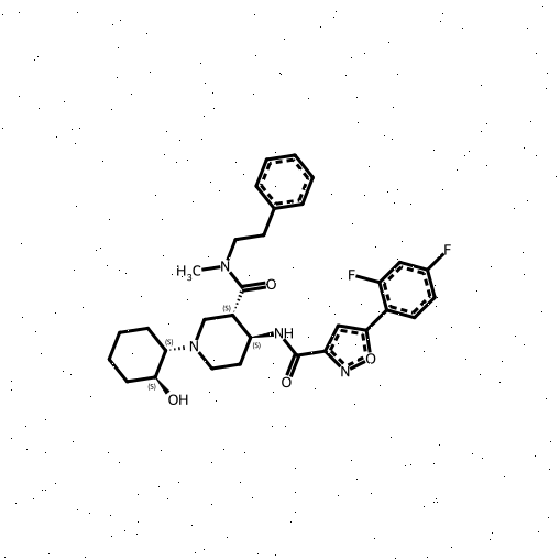 CN(CCc1ccccc1)C(=O)[C@H]1CN([C@H]2CCCC[C@@H]2O)CC[C@@H]1NC(=O)c1cc(-c2ccc(F)cc2F)on1